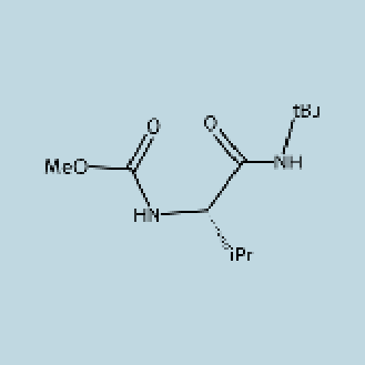 COC(=O)N[C@H](C(=O)NC(C)(C)C)C(C)C